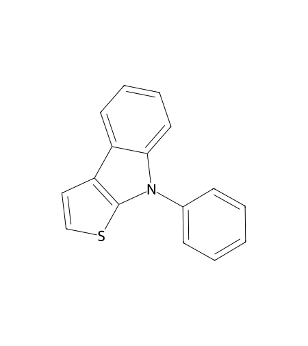 c1ccc(-n2c3ccccc3c3ccsc32)cc1